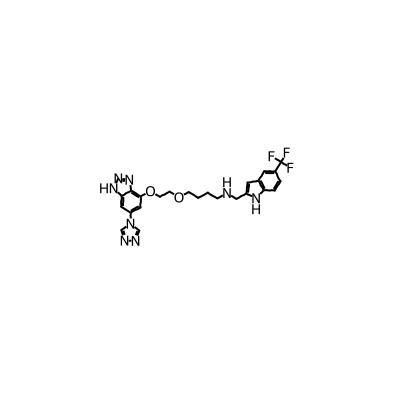 FC(F)(F)c1ccc2[nH]c(CNCCCCOCCOc3cc(-n4cnnc4)cc4[nH]nnc34)cc2c1